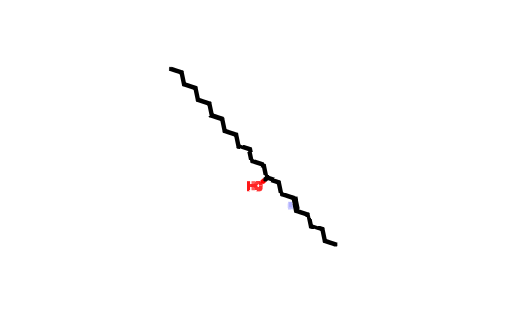 CCCCC/C=C/CCC(O)CCCCCCCCCCCCCC